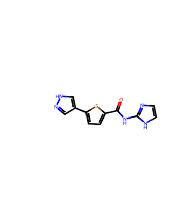 O=C(Nc1ncc[nH]1)c1ccc(-c2cn[nH]c2)s1